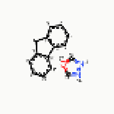 c1ccc2c(c1)Cc1ccccc1-2.c1nnco1